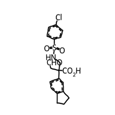 O=CCC(CNS(=O)(=O)c1ccc(Cl)cc1)(C(=O)O)c1ccc2c(c1)CCC2